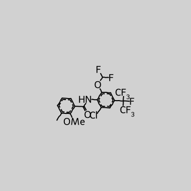 COc1c(C)cccc1C(=O)Nc1c(Cl)cc(C(F)(C(F)(F)F)C(F)(F)F)cc1OC(F)F